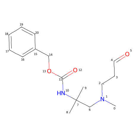 CN([CH]CC=O)CC(C)(C)NC(=O)OCc1ccccc1